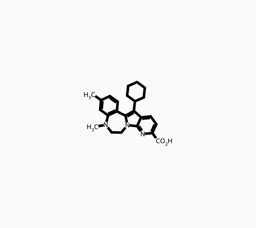 Cc1ccc2c(c1)N(C)CCn1c-2c(C2CCCCC2)c2ccc(C(=O)O)nc21